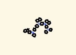 CC1(C)c2ccccc2-c2ccc(N(c3ccccc3)c3ccc(-c4ccc(N(c5ccc(N(c6ccc(N(c7ccccc7)c7ccccc7)cc6)c6cccc7ccccc67)cc5)c5cccc6ccccc56)cc4)cc3)cc21